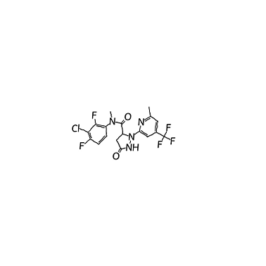 Cc1cc(C(F)(F)F)cc(N2NC(=O)CC2C(=O)N(C)c2ccc(F)c(Cl)c2F)n1